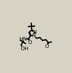 CC(=O)CCCCn1nc(C(C)(C)C)cc1C(=O)NC(C)(C)CO